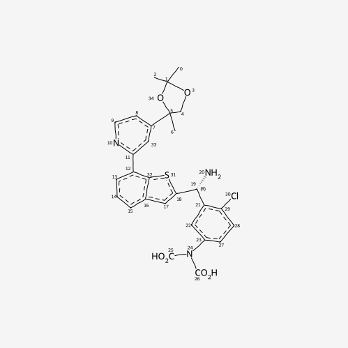 CC1(C)OCC(C)(c2ccnc(-c3cccc4cc([C@H](N)c5cc(N(C(=O)O)C(=O)O)ccc5Cl)sc34)c2)O1